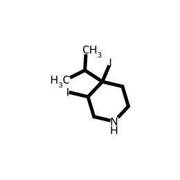 CC(C)C1(I)CCNCC1I